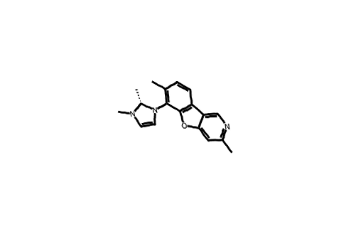 Cc1cc2oc3c(N4C=CN(C)[C@@H]4C)c(C)ccc3c2cn1